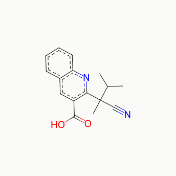 CC(C)C(C)(C#N)c1nc2ccccc2cc1C(=O)O